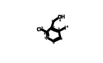 OCc1c(I)ccnc1Cl